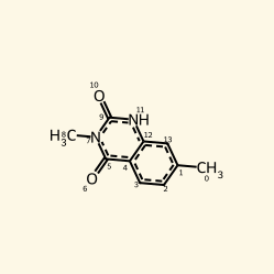 Cc1ccc2c(=O)n(C)c(=O)[nH]c2c1